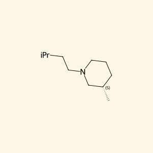 CC(C)CCN1CCC[C@H](C)C1